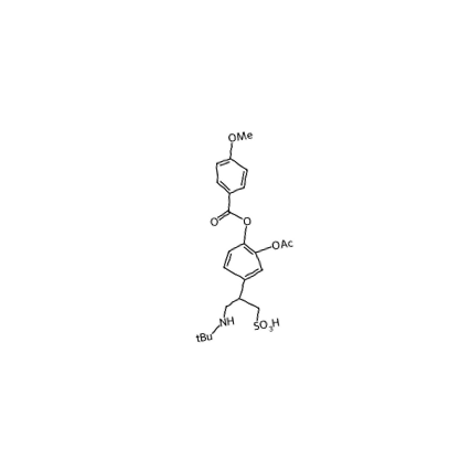 COc1ccc(C(=O)Oc2ccc(C(CNC(C)(C)C)CS(=O)(=O)O)cc2OC(C)=O)cc1